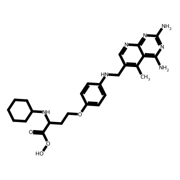 Cc1c(CNc2ccc(OCCC(NC3CCCCC3)C(=O)OO)cc2)cnc2nc(N)nc(N)c12